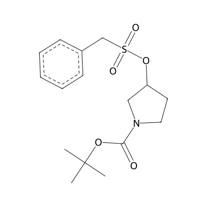 CC(C)(C)OC(=O)N1CCC(OS(=O)(=O)Cc2ccccc2)C1